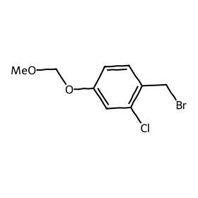 COCOc1ccc(CBr)c(Cl)c1